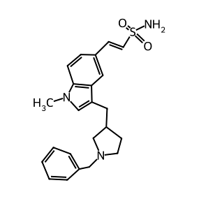 Cn1cc(CC2CCN(Cc3ccccc3)C2)c2cc(C=CS(N)(=O)=O)ccc21